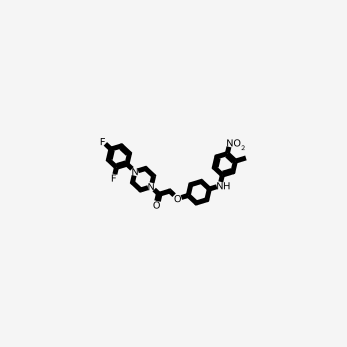 Cc1cc(NC2CCC(OCC(=O)N3CCN(c4ccc(F)cc4F)CC3)CC2)ccc1[N+](=O)[O-]